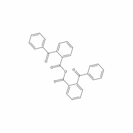 O=C(OC(=O)c1ccccc1C(=O)c1ccccc1)c1ccccc1C(=O)c1ccccc1